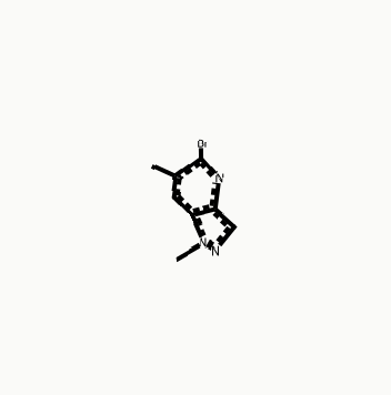 Cc1cc2c(cnn2C)nc1Br